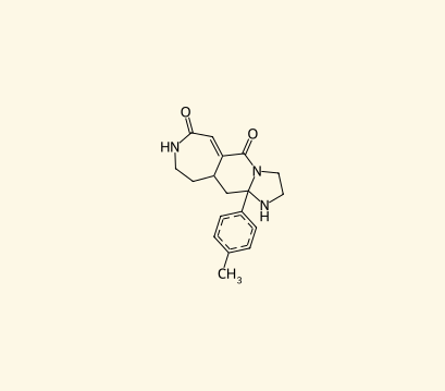 Cc1ccc(C23CC4CCNC(=O)C=C4C(=O)N2CCN3)cc1